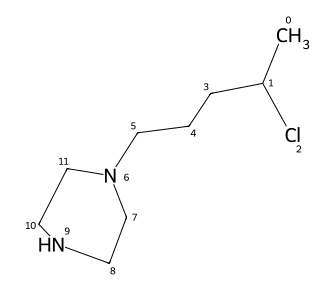 CC(Cl)CCCN1CCNCC1